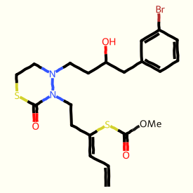 C=C/C=C(/CCN1C(=O)SCCN1CCC(O)Cc1cccc(Br)c1)SC(=O)OC